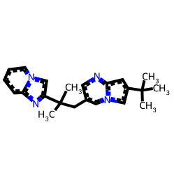 CC(C)(C)c1cc2ncc(CC(C)(C)c3cn4ccccc4n3)cn2c1